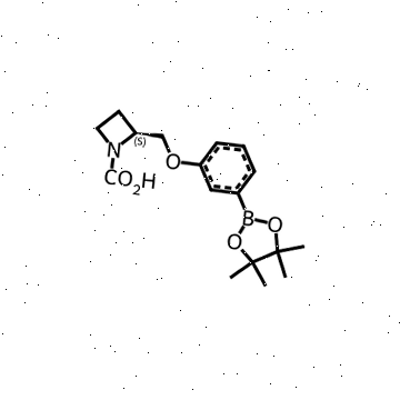 CC1(C)OB(c2cccc(OC[C@@H]3CCN3C(=O)O)c2)OC1(C)C